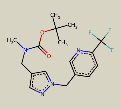 CN(Cc1cnn(Cc2ccc(C(F)(F)F)nc2)c1)C(=O)OC(C)(C)C